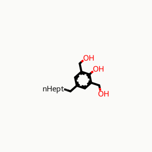 CCCCCCCCc1cc(CO)c(O)c(CO)c1